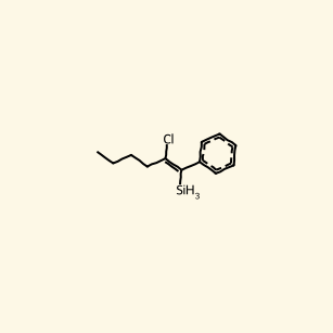 CCCCC(Cl)=C([SiH3])c1ccccc1